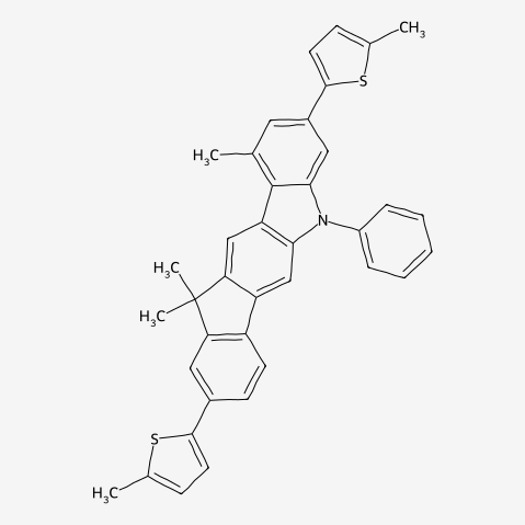 Cc1ccc(-c2ccc3c(c2)C(C)(C)c2cc4c5c(C)cc(-c6ccc(C)s6)cc5n(-c5ccccc5)c4cc2-3)s1